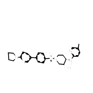 Cc1ccc(N[C@@H]2CCN(S(=O)(=O)c3ccc(-c4ccc(N5CCCC5)nc4)cc3)C[C@@H]2O)nc1